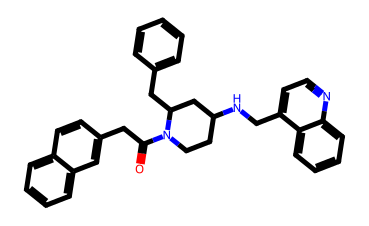 O=C(Cc1ccc2ccccc2c1)N1CCC(NCc2ccnc3ccccc23)CC1Cc1ccccc1